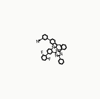 N#Cc1cccc(-c2ccc3c4c(n(-c5ccc(-c6c(F)cccc6F)cc5-c5nc(-c6ccccc6)nc(-c6ccccc6)n5)c3c2)CCC=C4)c1